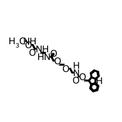 CNOCC(=O)NCCNC(=O)COCCOCCNC(=O)OCC1c2ccccc2[C@@H]2C=CC=CC12